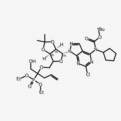 C=CCC(CO)(OCC1O[C@@H](n2ncc3c(N(C(=O)OC(C)(C)C)C4CCCC4)nc(Cl)nc32)[C@@H]2OC(C)(C)O[C@H]12)P(=O)(OCC)OCC